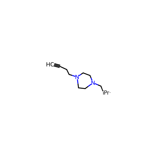 C#CCCN1CCN(C[C](C)C)CC1